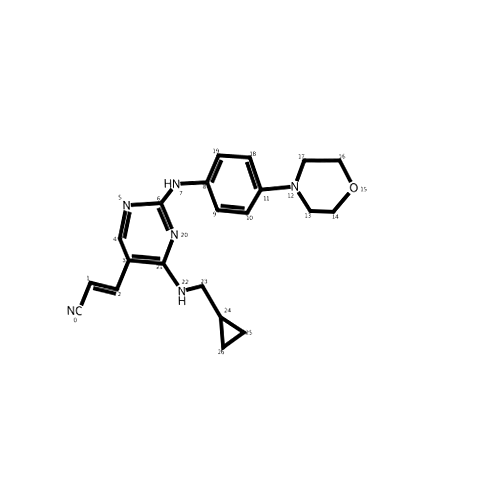 N#C/C=C/c1cnc(Nc2ccc(N3CCOCC3)cc2)nc1NCC1CC1